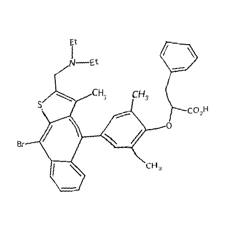 CCN(CC)Cc1sc2c(Br)c3ccccc3c(-c3cc(C)c(OC(Cc4ccccc4)C(=O)O)c(C)c3)c2c1C